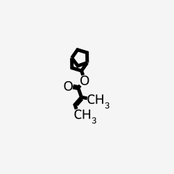 C/C=C(\C)C(=O)OC1CC2CCC1C2